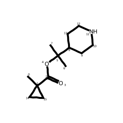 CC1(C(=O)OC(C)(C)C2CCNCC2)CC1